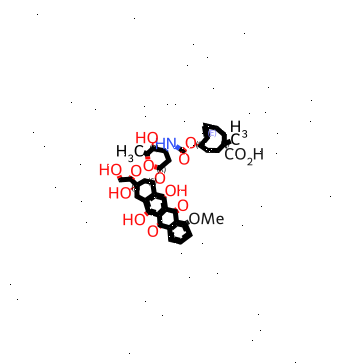 COc1cccc2c1C(=O)c1c(O)c3c(c(O)c1C2=O)C[C@@](O)(C(=O)CO)C[C@@H]3O[C@H]1CC(NC(=O)O[C@@H]2/C=C/CC[C@](C)(C(=O)O)CC2)[C@@H](O)C(C)O1